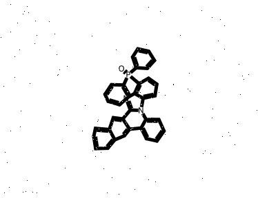 O=P(c1ccccc1)(c1ccccc1)c1cccc2c1nc1c3cc4ccccc4cc3c3ccccc3n21